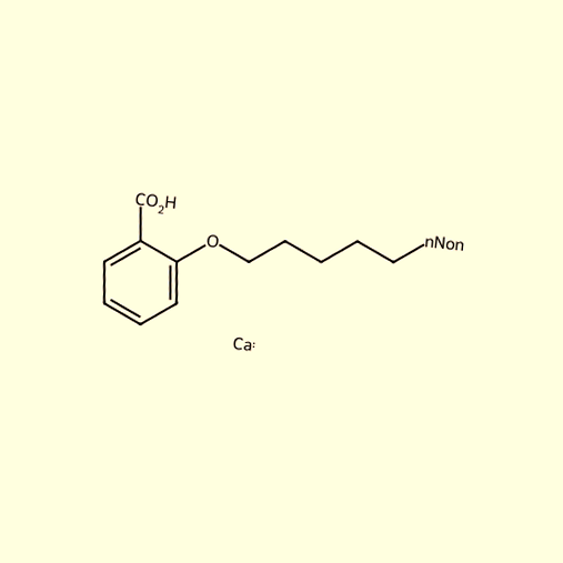 CCCCCCCCCCCCCCOc1ccccc1C(=O)O.[Ca]